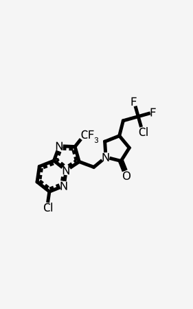 O=C1CC(CC(F)(F)Cl)CN1Cc1c(C(F)(F)F)nc2ccc(Cl)nn12